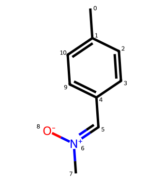 Cc1ccc(C=[N+](C)[O-])cc1